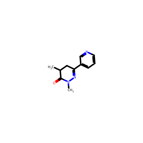 CC1CC(c2cccnc2)=NN(C)C1=O